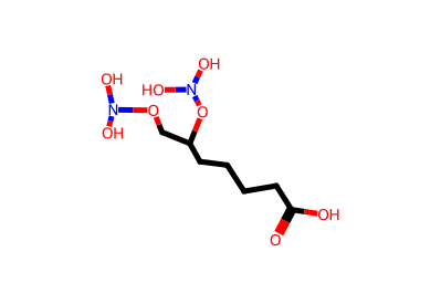 O=C(O)CCCCC(CON(O)O)ON(O)O